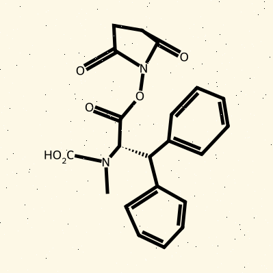 CN(C(=O)O)[C@H](C(=O)ON1C(=O)CCC1=O)C(c1ccccc1)c1ccccc1